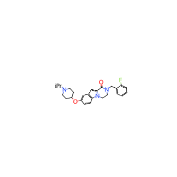 CC(C)N1CCC(Oc2ccc3c(c2)cc2n3CCN(Cc3ccccc3F)C2=O)CC1